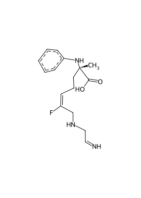 C[C@@](CC/C=C(/F)CNCC=N)(Nc1ccccc1)C(=O)O